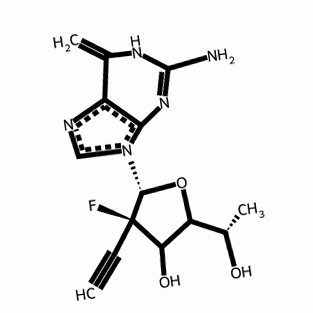 C#C[C@@]1(F)C(O)C([C@H](C)O)O[C@H]1n1cnc2c1N=C(N)NC2=C